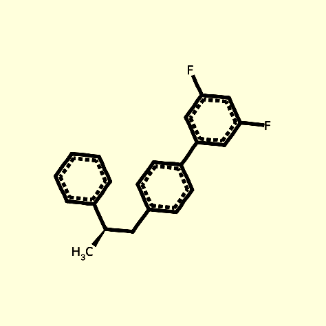 C[C@H](Cc1ccc(-c2cc(F)cc(F)c2)cc1)c1ccccc1